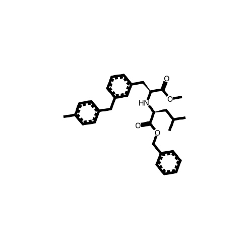 COC(=O)[C@H](Cc1cccc(Cc2ccc(C)cc2)c1)N[C@@H](CC(C)C)C(=O)OCc1ccccc1